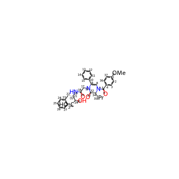 COc1ccc(C(=O)N2C=C(c3ccccc3)N(CC(=O)N[C@@H](Cc3ccccc3)C(O)C(=O)O)C(=O)C2C(C)C)cc1